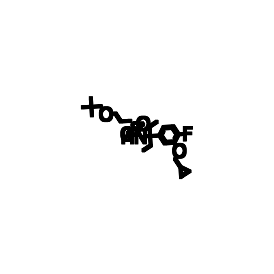 CCC(CC)(NS(=O)(=O)CCCOCC(C)(C)C)c1ccc(F)c(OCC2CC2)c1